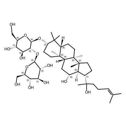 CC(C)=CCCC(C)(O)[C@H]1CC[C@]2(C)[C@@H]1[C@H](O)C[C@@H]1[C@@]3(C)CC[C@H](O[C@@H]4O[C@H](CO)[C@@H](O)[C@H](O)[C@H]4O[C@@H]4O[C@H](CO)[C@@H](O)[C@H](O)[C@H]4O)C(C)(C)[C@@H]3CC[C@]12C